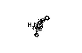 COC(=O)C(C(=O)OCc1ccccc1)=C(N)c1ccc(OCc2ccccc2)nc1